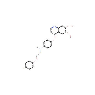 COc1cc2nccc(Oc3ccc(N(C)CCOc4ccc(F)cc4)cc3)c2cc1OC